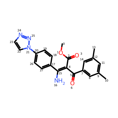 COC(=O)C(C(=O)c1cc(C)cc(C)c1)=C(N)c1ccc(-n2ccnn2)cc1